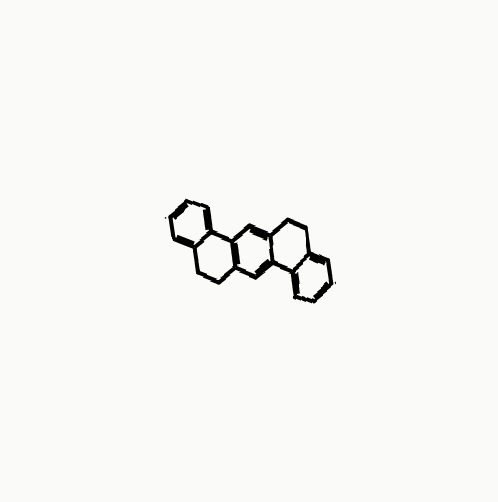 [c]1ccc2c(c1)CCc1cc3c(cc1-2)CCc1c[c]ccc1-3